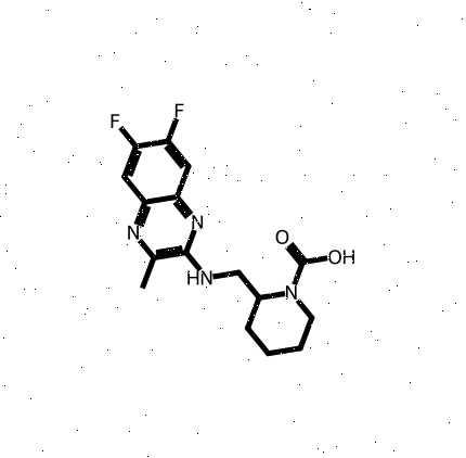 Cc1nc2cc(F)c(F)cc2nc1NCC1CCCCN1C(=O)O